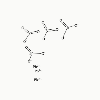 [O]=[V](=[O])[O-].[O]=[V](=[O])[O-].[O]=[Zr]([O-])[O-].[O]=[Zr]([O-])[O-].[Pb+2].[Pb+2].[Pb+2]